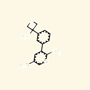 Cc1ncc(N)cc1-c1cccc(C2(C)COC2)c1